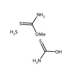 COC(N)=S.NC(O)=S.S